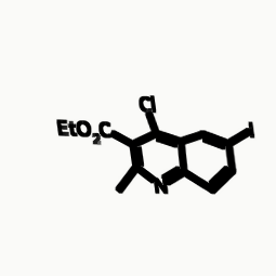 CCOC(=O)c1c(C)nc2ccc(I)cc2c1Cl